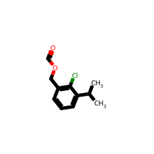 CC(C)c1cccc(COC=O)c1Cl